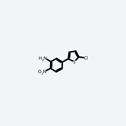 Nc1cc(-c2ccc(Cl)s2)ccc1[N+](=O)[O-]